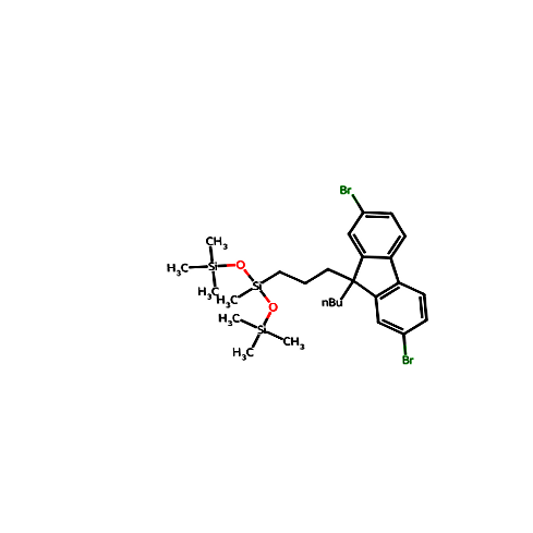 CCCCC1(CCC[Si](C)(O[Si](C)(C)C)O[Si](C)(C)C)c2cc(Br)ccc2-c2ccc(Br)cc21